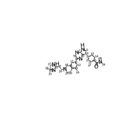 Cc1cc(-c2c[nH]c3ncc(-c4cc(C)c5c(c4)CN(CCC4=NC(C)(C)CN4)CC5)nc23)ccc1C(=O)N(C)C